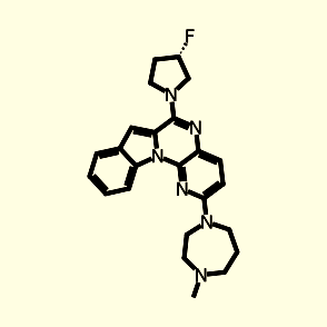 CN1CCCN(c2ccc3nc(N4CC[C@H](F)C4)c4cc5ccccc5n4c3n2)CC1